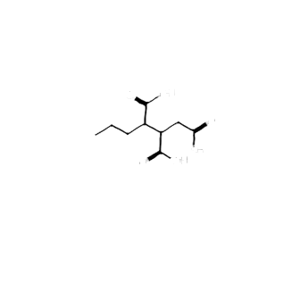 CCCC(C(=O)O)C(CC(=O)S)C(=O)O